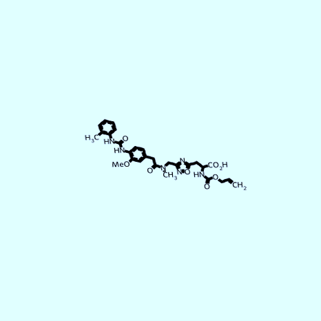 C=CCOC(=O)NC(Cc1nc(CN(C)C(=O)Cc2ccc(NC(=O)Nc3ccccc3C)c(OC)c2)no1)C(=O)O